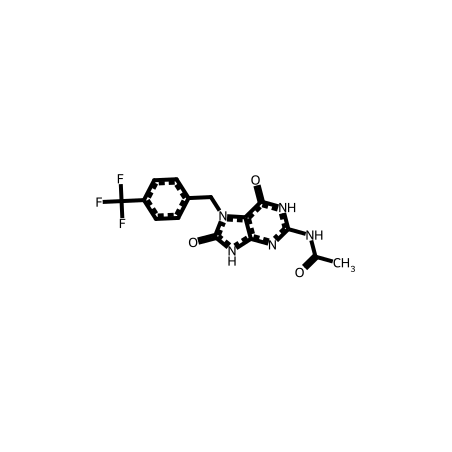 CC(=O)Nc1nc2[nH]c(=O)n(Cc3ccc(C(F)(F)F)cc3)c2c(=O)[nH]1